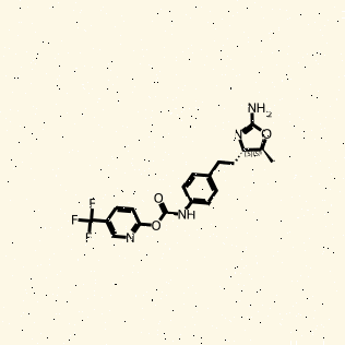 C[C@@H]1OC(N)=N[C@H]1CCc1ccc(NC(=O)Oc2ccc(C(F)(F)F)cn2)cc1